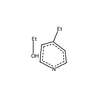 CCO.CCc1ccncc1